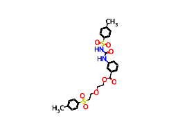 Cc1ccc(S(=O)(=O)CCOCCOC(=O)c2cccc(NC(=O)NS(=O)(=O)c3ccc(C)cc3)c2)cc1